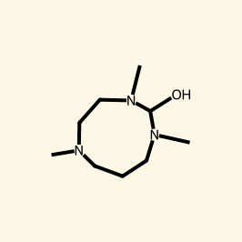 CN1CCCN(C)C(O)N(C)CC1